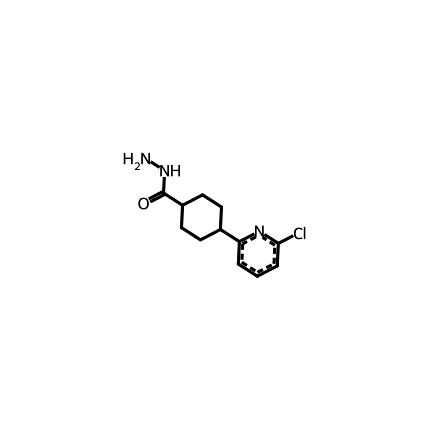 NNC(=O)C1CCC(c2cccc(Cl)n2)CC1